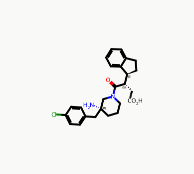 N[C@@]1(Cc2ccc(Cl)cc2)CCCN(C(=O)[C@@H](CC(=O)O)[C@@H]2CCc3ccccc32)C1